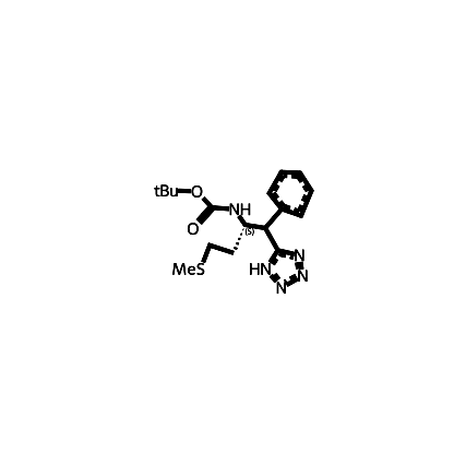 CSCC[C@H](NC(=O)OC(C)(C)C)C(c1ccccc1)c1nnn[nH]1